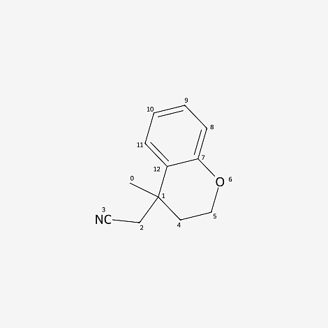 CC1(CC#N)CCOc2ccccc21